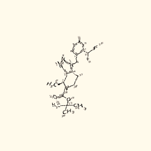 C[C@H]1c2nnn(Cc3ccccc3C(F)F)c2CCN1C(=O)OC(C)(C)C